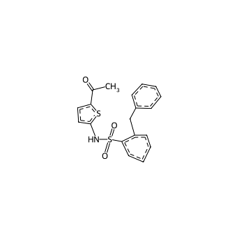 CC(=O)c1ccc(NS(=O)(=O)c2ccccc2Cc2ccccc2)s1